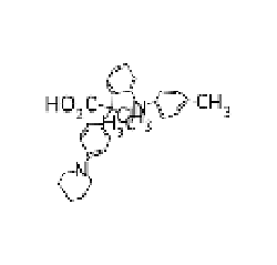 Cc1ccc(N(C)c2ccccc2C(C)(C(=O)O)c2ccc(N3CCCCC3)cc2)cc1